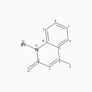 C=C1C=C(C)c2ccccc2N1C(C)C